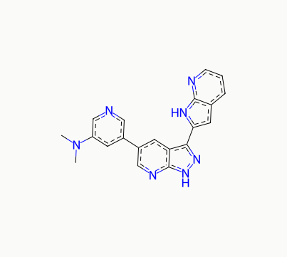 CN(C)c1cncc(-c2cnc3[nH]nc(-c4cc5cccnc5[nH]4)c3c2)c1